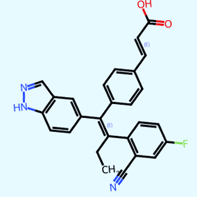 CC/C(=C(/c1ccc(/C=C/C(=O)O)cc1)c1ccc2[nH]ncc2c1)c1ccc(F)cc1C#N